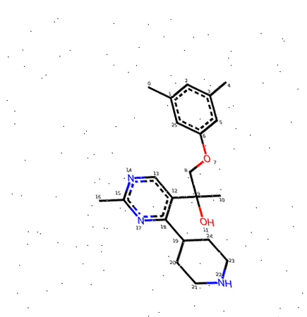 Cc1cc(C)cc(OCC(C)(O)c2cnc(C)nc2C2CCNCC2)c1